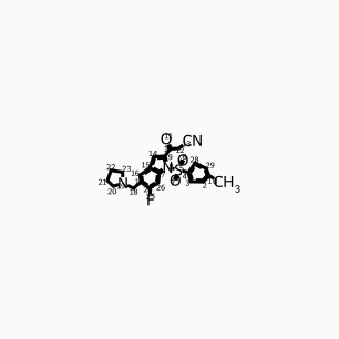 Cc1ccc(S(=O)(=O)n2c(C(=O)CC#N)cc3cc(CN4CCCC4)c(F)cc32)cc1